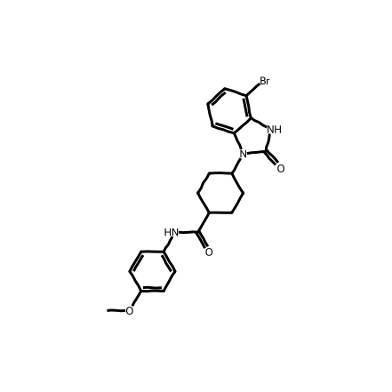 COc1ccc(NC(=O)C2CCC(n3c(=O)[nH]c4c(Br)cccc43)CC2)cc1